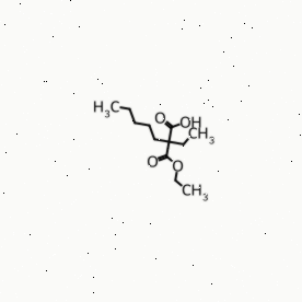 CCCCCC(CC)(C(=O)O)C(=O)OCC